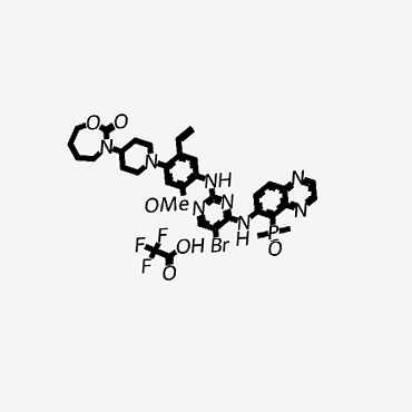 C=Cc1cc(Nc2ncc(Br)c(Nc3ccc4nccnc4c3P(C)(C)=O)n2)c(OC)cc1N1CCC(N2CCCCOC2=O)CC1.O=C(O)C(F)(F)F